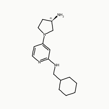 N[C@@H]1CCN(c2ccnc(NCC3CCCCC3)c2)C1